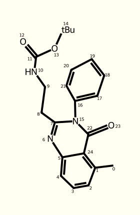 Cc1cccc2nc(CCNC(=O)OC(C)(C)C)n(-c3ccccc3)c(=O)c12